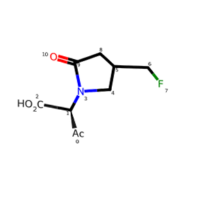 CC(=O)[C@@H](C(=O)O)N1CC(CF)CC1=O